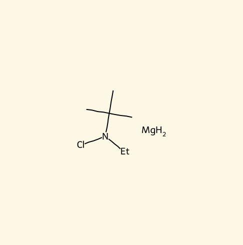 CCN(Cl)C(C)(C)C.[MgH2]